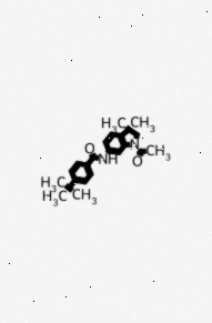 CC(=O)N1CC(C)(C)c2ccc(NC(=O)c3ccc(C(C)(C)C)cc3)cc21